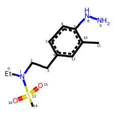 CCN(CCc1ccc(NN)c(C)c1)S(C)(=O)=O